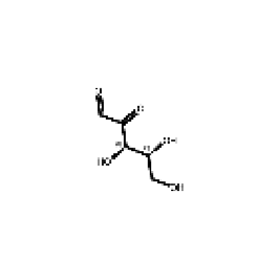 O=CC(=O)[C@H](O)[C@@H](O)CO